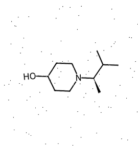 CC(C)[C@@H](C)N1CCC(O)CC1